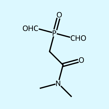 CN(C)C(=O)CP(=O)(C=O)C=O